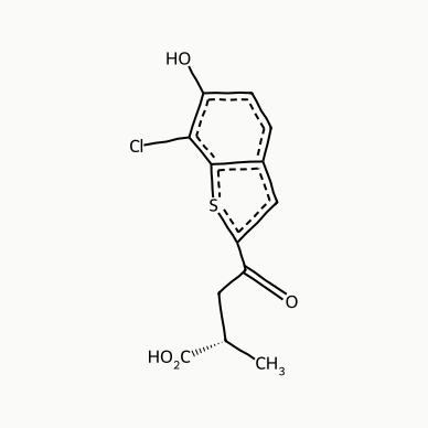 C[C@@H](CC(=O)c1cc2ccc(O)c(Cl)c2s1)C(=O)O